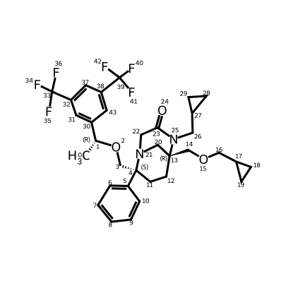 C[C@@H](OC[C@@]1(c2ccccc2)CC[C@]2(COCC3CC3)CN1CC(=O)N2CC1CC1)c1cc(C(F)(F)F)cc(C(F)(F)F)c1